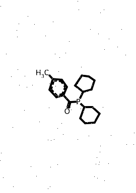 Cc1ccc(C(=O)P(C2CCCCC2)C2CCCCC2)cc1